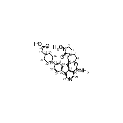 CN1CC[C@@]2(CCCN(n3c4cc(C5CCC(CC(=O)O)CC5)ccc4c4cncc(C(N)=O)c43)C2)C1=O